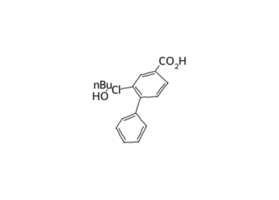 CCCCO.O=C(O)c1ccc(-c2ccccc2)c(Cl)c1